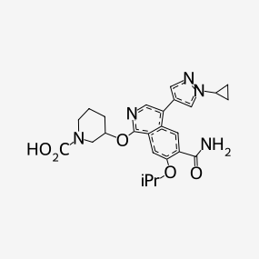 CC(C)Oc1cc2c(OC3CCCN(C(=O)O)C3)ncc(-c3cnn(C4CC4)c3)c2cc1C(N)=O